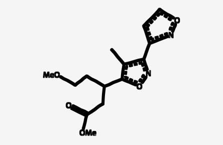 COCCC(CC(=O)OC)c1onc(-c2ccon2)c1C